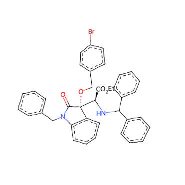 CCOC(=O)[C@@H](NC(c1ccccc1)c1ccccc1)[C@]1(OCc2ccc(Br)cc2)C(=O)N(Cc2ccccc2)c2ccccc21